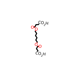 O=C(O)CCC(=O)OCCCCCCOC(=O)CCC(=O)O